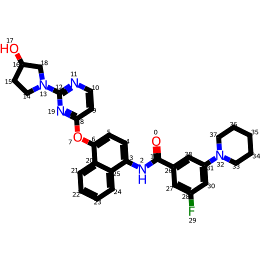 O=C(Nc1ccc(Oc2ccnc(N3CCC(O)C3)n2)c2ccccc12)c1cc(F)cc(N2CCCCC2)c1